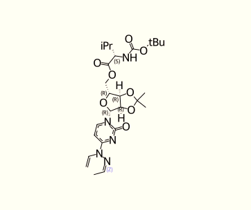 C=CN(/N=C\C)c1ccn([C@@H]2O[C@H](COC(=O)[C@@H](NC(=O)OC(C)(C)C)C(C)C)[C@H]3OC(C)(C)O[C@H]32)c(=O)n1